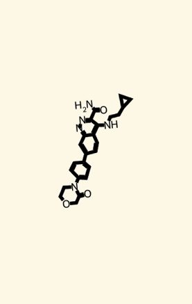 NC(=O)c1nnc2cc(-c3ccc(N4CCOCC4=O)cc3)ccc2c1NCCC1CC1